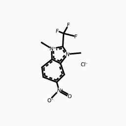 Cn1c(C(F)(F)F)[n+](C)c2ccc([N+](=O)[O-])cc21.[Cl-]